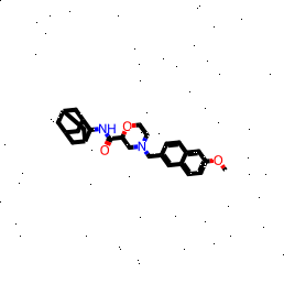 COc1ccc2cc(CN3CCOC(C(=O)NC4C5CC6CC(C5)CC4C6)C3)ccc2c1